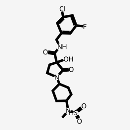 CN(C1CCC(N2CCC(O)(C(=O)NCc3cc(F)cc(Cl)c3)C2=O)CC1)[SH](=O)=O